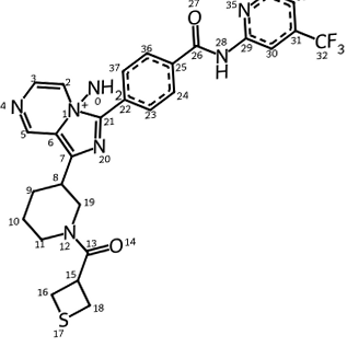 N[N+]12C=CN=CC1=C(C1CCCN(C(=O)C3CSC3)C1)N=C2c1ccc(C(=O)Nc2cc(C(F)(F)F)ccn2)cc1